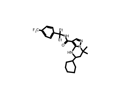 CCC(CC)(NC(=O)c1cnn2c1NC(C1CCCCC1)CC2(C)C)c1ccc(C(F)(F)F)cc1